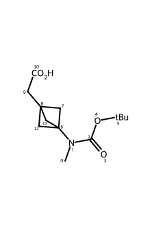 CN(C(=O)OC(C)(C)C)C12CC(CC(=O)O)(C1)C2